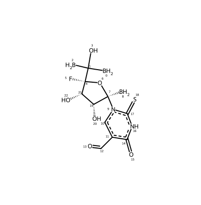 BC(B)(O)[C@@]1(F)O[C@@](B)(n2cc(C=O)c(=O)[nH]c2=S)[C@H](O)[C@@H]1O